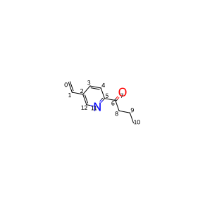 C=Cc1ccc(C(=O)CCC)nc1